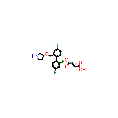 Fc1ccc(-c2ccc(F)cc2CO[C@H]2CCNC2)c(F)c1.O=C(O)/C=C/C(=O)O